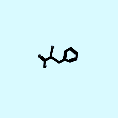 O=C(Br)C(Br)Cc1ccccc1